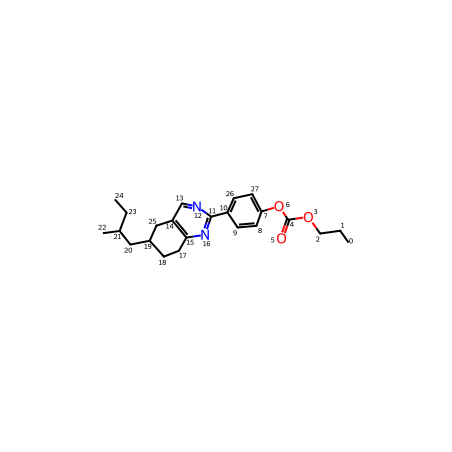 CCCOC(=O)Oc1ccc(-c2ncc3c(n2)CCC(CC(C)CC)C3)cc1